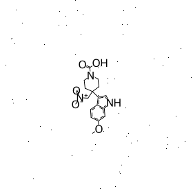 COc1ccc2c(C3(C[N+](=O)[O-])CCN(C(=O)O)CC3)c[nH]c2c1